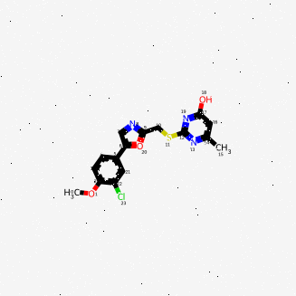 COc1ccc(-c2cnc(CSc3nc(C)cc(O)n3)o2)cc1Cl